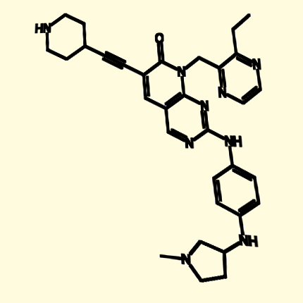 CCc1nccnc1Cn1c(=O)c(C#CC2CCNCC2)cc2cnc(Nc3ccc(NC4CCN(C)C4)cc3)nc21